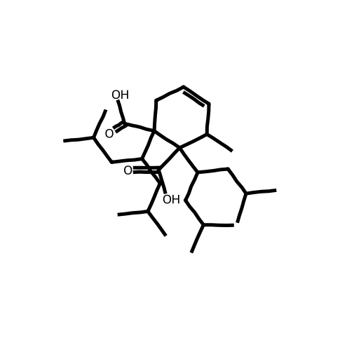 CC(C)CC(CC(C)C)C1(C(=O)O)CC=CC(C)C1(C(=O)O)C(CC(C)C)CC(C)C